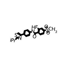 CC(C)c1nc(-c2ccc(NC(=O)c3ccc(S(C)(=O)=O)cc3F)cc2)cs1